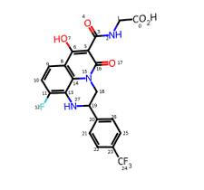 O=C(O)CNC(=O)c1c(O)c2ccc(F)c3c2n(c1=O)CC(c1ccc(C(F)(F)F)cc1)N3